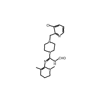 CC1=C(/N=C(\NC=O)N2CCN(Cc3ncccc3Cl)CC2)N(C)CCC1